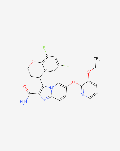 NC(=O)c1nc2ccc(Oc3ncccc3OCC(F)(F)F)cn2c1C1CCOc2c(F)cc(F)cc21